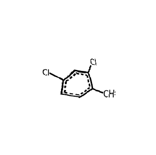 [CH]c1ccc(Cl)cc1Cl